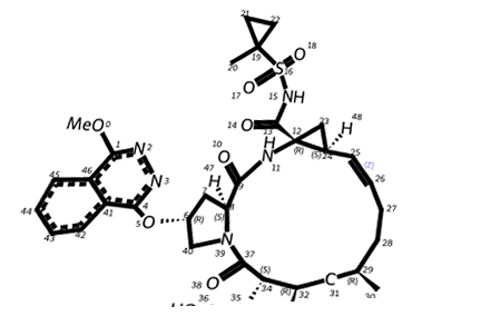 COc1nnc(O[C@@H]2C[C@H]3C(=O)N[C@]4(C(=O)NS(=O)(=O)C5(C)CC5)C[C@H]4/C=C\CC[C@@H](C)C[C@@H](C)[C@H](NC(=O)O)C(=O)N3C2)c2ccccc12